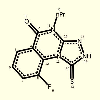 CCCn1c(=O)c2cccc(F)c2n2c(=S)[nH]nc12